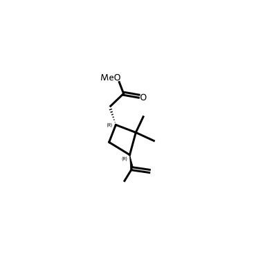 C=C(C)[C@H]1C[C@H](CC(=O)OC)C1(C)C